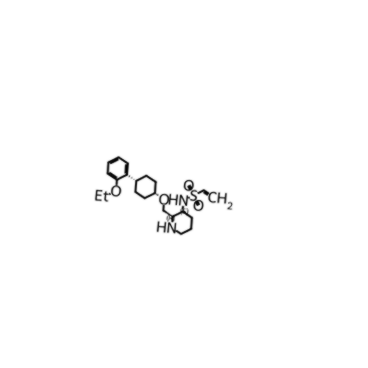 C=CS(=O)(=O)N[C@H]1CCCN[C@H]1CO[C@H]1CC[C@@H](c2ccccc2OCC)CC1